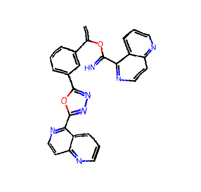 C=C(OC(=N)c1nccc2ncccc12)c1cccc(-c2nnc(-c3nccc4ncccc34)o2)c1